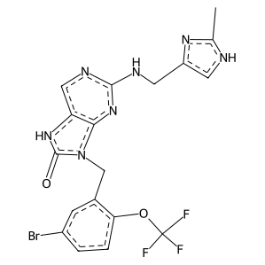 Cc1nc(CNc2ncc3[nH]c(=O)n(Cc4cc(Br)ccc4OC(F)(F)F)c3n2)c[nH]1